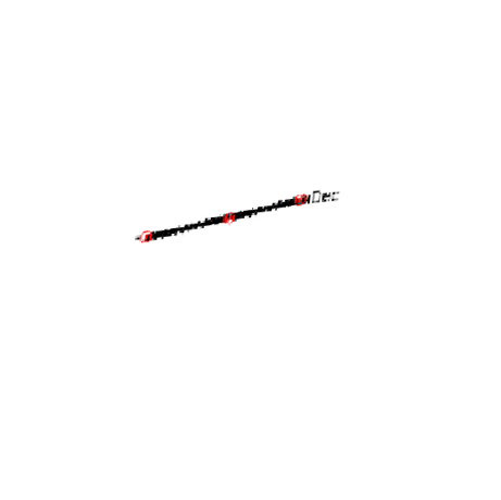 CCCCCCCCCCCOCCCCCCCCCCCCCCCCCCCCOCCCCCCCCCCCCCCCCCCCCCCCC[O]